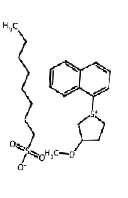 CCCCCCCCS(=O)(=O)[O-].COC1CC[S+](c2cccc3ccccc23)C1